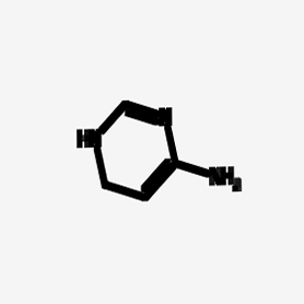 NC1=CCNC=N1